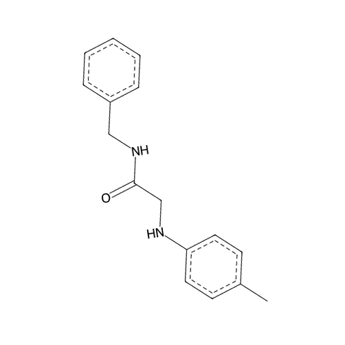 Cc1ccc(NCC(=O)NCc2ccccc2)cc1